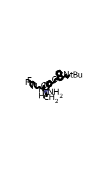 C=C/N=C(/C(=O)NCCN1CCC(F)(F)CC1)C(N)c1cc(COc2ccc(C3=CC(C(C)(C)C)=N3)c3ccccc23)ccn1